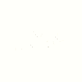 CN(C(=O)Cc1ccc2c(c1)NC(=O)C2)[C@H](CN1CCC(O)C1)C1CCCCC1